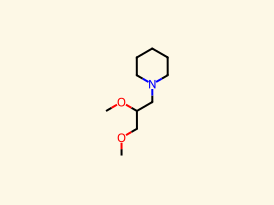 COCC(CN1CCCCC1)OC